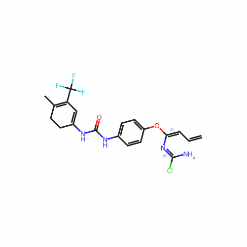 C=C/C=C(\N=C(/N)Cl)Oc1ccc(NC(=O)NC2=CC(C(F)(F)F)=C(C)CC2)cc1